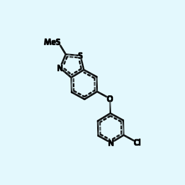 CSc1nc2ccc(Oc3ccnc(Cl)c3)cc2s1